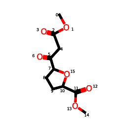 COC(=O)CC(=O)C1CCC(C(=O)OC)O1